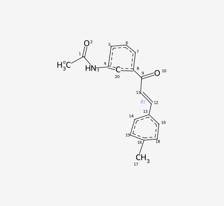 CC(=O)Nc1cccc(C(=O)/C=C/c2ccc(C)cc2)c1